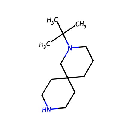 CC(C)(C)N1CCCC2(CCNCC2)C1